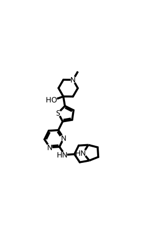 CN1CCC(O)(c2ccc(-c3ccnc(NC4CC5CCC(C4)N5)n3)s2)CC1